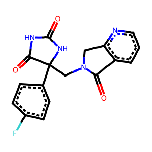 O=C1NC(=O)C(CN2Cc3ncccc3C2=O)(c2ccc(F)cc2)N1